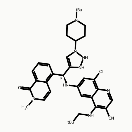 Cn1ccc2c([C@H](Nc3cc(Cl)c4ncc(C#N)c(NCC(C)(C)C)c4c3)C3=CN(C4CCN(C(C)(C)C)CC4)NN3)cccc2c1=O